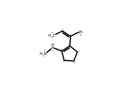 C/C=C(\C1=C(NN)CCC1)C(C)C